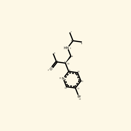 CC(=O)[C@@H](CNC(C)C)c1ccc(Br)cn1